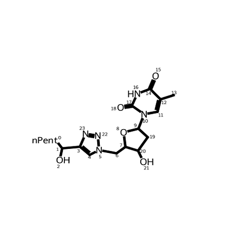 CCCCCC(O)c1cn(CC2OC(n3cc(C)c(=O)[nH]c3=O)CC2O)nn1